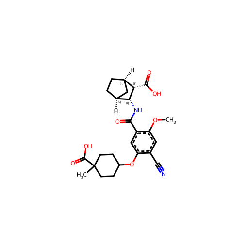 COc1cc(C#N)c(OC2CCC(C)(C(=O)O)CC2)cc1C(=O)N[C@@H]1[C@H]2CC[C@H](C2)[C@@H]1C(=O)O